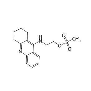 CS(=O)(=O)OCCNc1c2c(nc3ccccc13)CCCC2